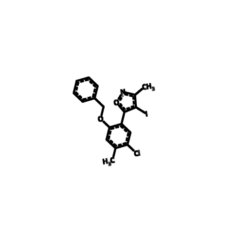 Cc1cc(OCc2ccccc2)c(-c2onc(C)c2I)cc1Cl